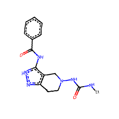 CCNC(=O)NN1CCc2n[nH]c(NC(=O)c3ccccc3)c2C1